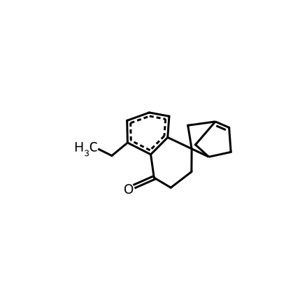 CCc1cccc2c1C(=O)CCC21CC2=CCC1C2